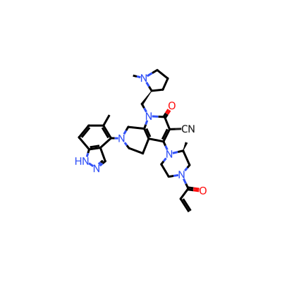 C=CC(=O)N1CCN(c2c3c(n(C[C@@H]4CCCN4C)c(=O)c2C#N)CN(c2c(C)ccc4[nH]ncc24)CC3)[C@@H](C)C1